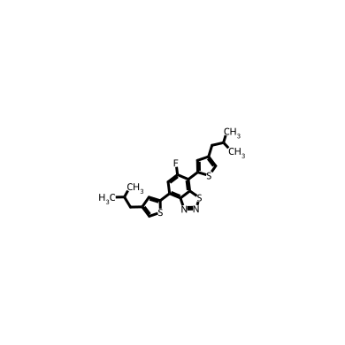 CC(C)Cc1csc(-c2cc(F)c(-c3cc(CC(C)C)cs3)c3snnc23)c1